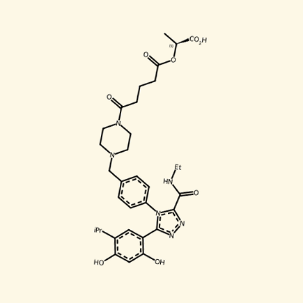 CCNC(=O)c1nnc(-c2cc(C(C)C)c(O)cc2O)n1-c1ccc(CN2CCN(C(=O)CCCC(=O)O[C@@H](C)C(=O)O)CC2)cc1